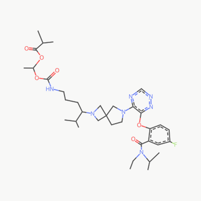 CCN(C(=O)c1cc(F)ccc1Oc1nncnc1N1CCC2(C1)CN(C(CCCNC(=O)OC(C)OC(=O)C(C)C)C(C)C)C2)C(C)C